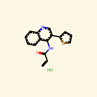 C=CC(=O)Nc1c(-c2cccs2)cnc2ccccc12.Cl